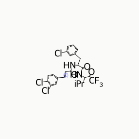 CC(C)C(NC(=O)C(Cc1cccc(Cl)c1)NC(=O)/C=C/c1ccc(Cl)c(Cl)c1)C(=O)C(F)(F)F